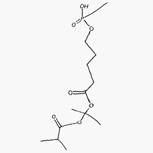 CC(C)C(=O)OC(C)(C)OC(=O)CCCCOP(C)(=O)O